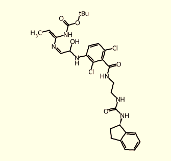 C/C=C(\N=C/C(O)Nc1ccc(Cl)c(C(=O)NCCNC(=O)N[C@@H]2CCc3ccccc32)c1Cl)NC(=O)OC(C)(C)C